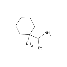 CCC(N)C1(N)CCCCC1